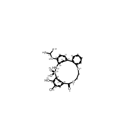 O=C1OCCOc2ccccc2-c2ccc(OC(F)F)c(c2)NS(=O)(=O)c2cc1cc(Cl)c2O